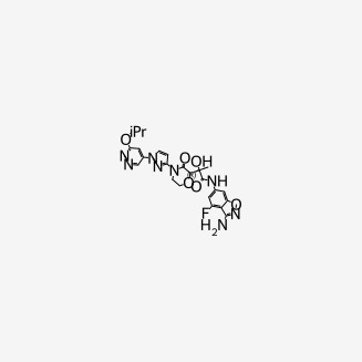 CC(C)Oc1cc(-n2ccc(N3CCO[C@H](C(C)(O)C(=O)Nc4cc(F)c5c(N)noc5c4)C3=O)n2)cnn1